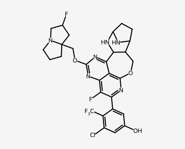 Oc1cc(Cl)c(C(F)(F)F)c(-c2nc3c4c(nc(OCC56CCCN5CC(F)C6)nc4c2F)C2NC4CCC(N4)C2CO3)c1